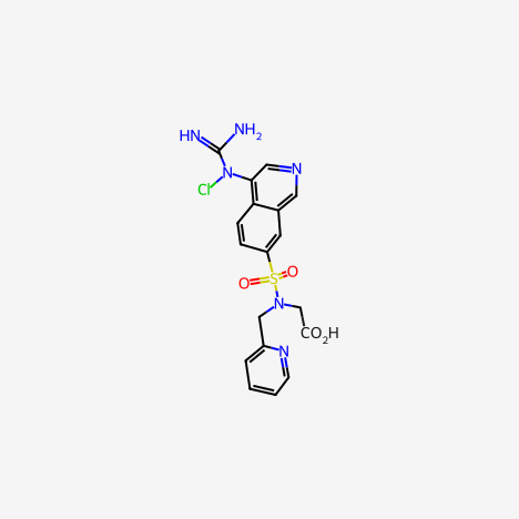 N=C(N)N(Cl)c1cncc2cc(S(=O)(=O)N(CC(=O)O)Cc3ccccn3)ccc12